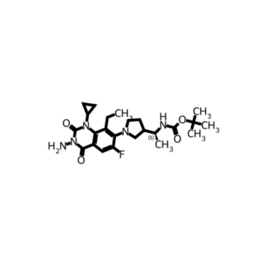 CCc1c(N2CCC([C@H](C)NC(=O)OC(C)(C)C)C2)c(F)cc2c(=O)n(N)c(=O)n(C3CC3)c12